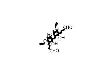 C#CCOc1c(C)c(O)c(Cc2c(O)c(C)c(OCC#C)c(CCCC=O)c2O)c(O)c1CCCC=O